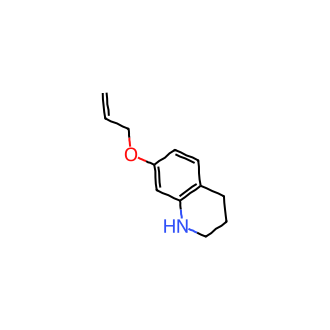 C=CCOc1ccc2c(c1)NCCC2